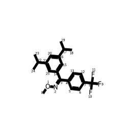 CON=C(c1ccc(C(F)(F)F)cc1)c1cc(C(C)C)[c]c(C(C)C)c1